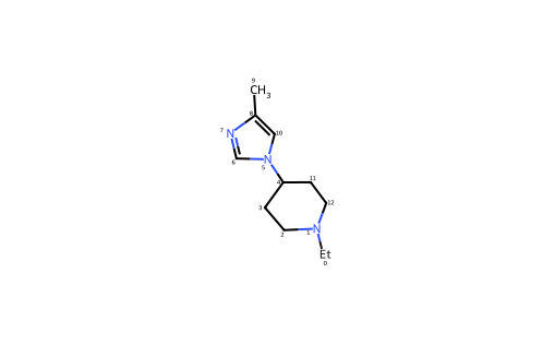 CCN1CCC(n2cnc(C)c2)CC1